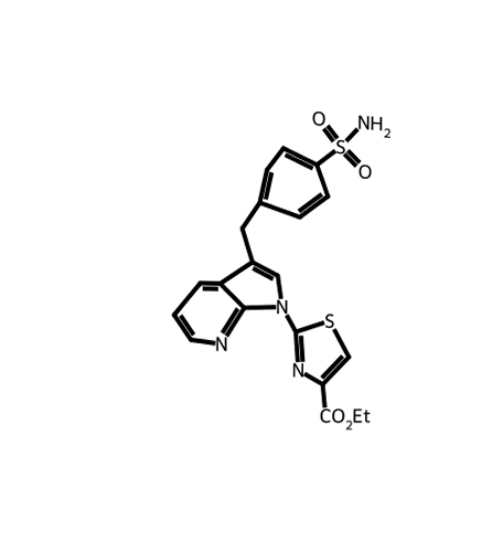 CCOC(=O)c1csc(-n2cc(Cc3ccc(S(N)(=O)=O)cc3)c3cccnc32)n1